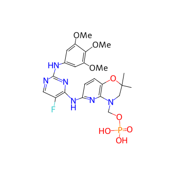 COc1cc(Nc2ncc(F)c(Nc3ccc4c(n3)N(COP(=O)(O)O)CC(C)(C)O4)n2)cc(OC)c1OC